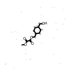 COC(=O)C(=O)OCC1CCC(CO)CC1